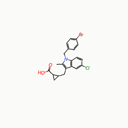 Cc1c(CC2CC2C(=O)O)c2cc(Cl)ccc2n1Cc1ccc(Br)cc1